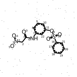 O=C(C[N+](=O)[O-])Nc1cccc(OS(=O)(=O)c2ccccc2)c1